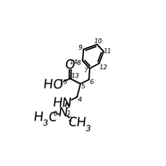 CN(C)NCC(Cc1ccccc1)C(=O)O